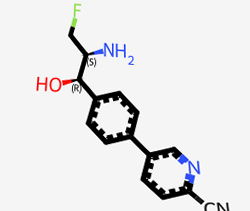 N#Cc1ccc(-c2ccc([C@@H](O)[C@H](N)CF)cc2)cn1